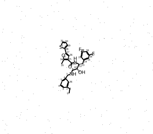 CCc1cccc(CNC[C@H](O)[C@H](Cc2cc(F)cc(F)c2)NC(=O)c2cc(-c3cccs3)oc2C)c1